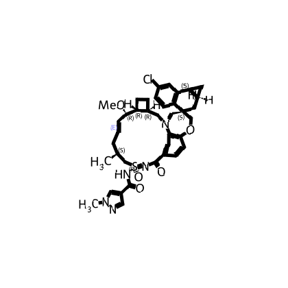 CO[C@H]1/C=C/C[C@H](C)C[S@@](=O)(NC(=O)c2cnn(C)c2)=NC(=O)c2ccc3c(c2)N(C[C@@H]2CC[C@H]21)C[C@]1(CO3)C[C@@H]2C[C@@H]2c2cc(Cl)ccc21